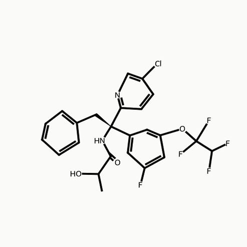 CC(O)C(=O)N[C@@](Cc1ccccc1)(c1cc(F)cc(OC(F)(F)C(F)F)c1)c1ccc(Cl)cn1